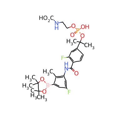 Cc1c(NC(=O)c2ccc(C(C)(C)OP(=O)(O)OCCNC(=O)O)cc2F)cc(F)cc1B1OC(C)(C)C(C)(C)O1